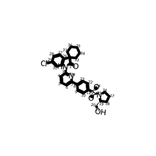 O=C(Nc1cccc(-c2ccc(S(=O)(=O)N3CCC[C@@H]3CO)cc2)n1)C1(c2ccc(Cl)cc2)CCCCC1